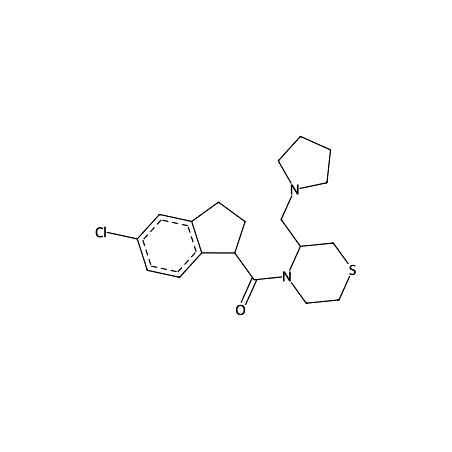 O=C(C1CCc2cc(Cl)ccc21)N1CCSCC1CN1CCCC1